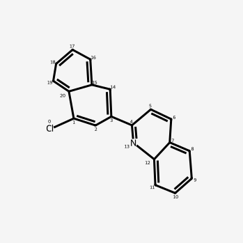 Clc1cc(-c2ccc3ccccc3n2)cc2ccccc12